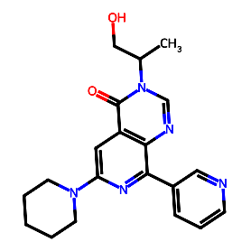 CC(CO)n1cnc2c(-c3cccnc3)nc(N3CCCCC3)cc2c1=O